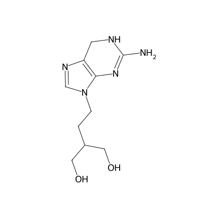 NC1=Nc2c(ncn2CCC(CO)CO)CN1